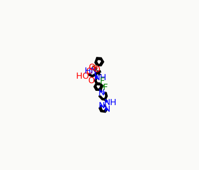 CC(C)(C)C(CC(=O)O)(NC(=O)c1ccc(N2CCC(Nc3ncccn3)CC2)c(F)c1F)NS(=O)(=O)c1ccccc1